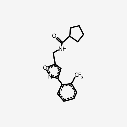 O=C(NCc1cc(-c2ccccc2C(F)(F)F)no1)C1CCCC1